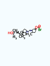 C=C1CC[C@H](OC(=O)Br)C/C1=C/C=C1\CCC[C@@]2(C)C1CC[C@@H]2C(C)CCCC(C)(C)O